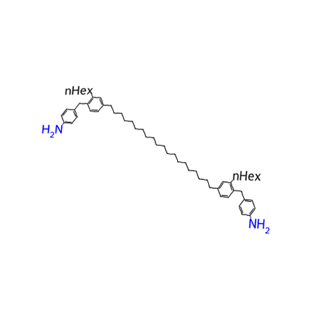 CCCCCCc1cc(CCCCCCCCCCCCCCCCCCCCc2ccc(Cc3ccc(N)cc3)c(CCCCCC)c2)ccc1Cc1ccc(N)cc1